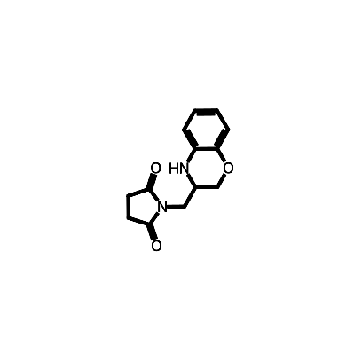 O=C1CCC(=O)N1CC1COc2ccccc2N1